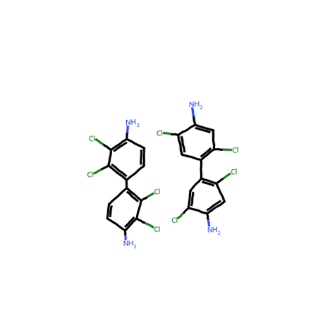 Nc1cc(Cl)c(-c2cc(Cl)c(N)cc2Cl)cc1Cl.Nc1ccc(-c2ccc(N)c(Cl)c2Cl)c(Cl)c1Cl